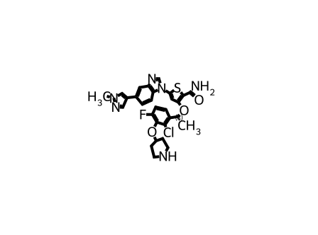 C[C@@H](Oc1cc(-n2cnc3cc(-c4cnn(C)c4)ccc32)sc1C(N)=O)c1ccc(F)c(OC2CCNCC2)c1Cl